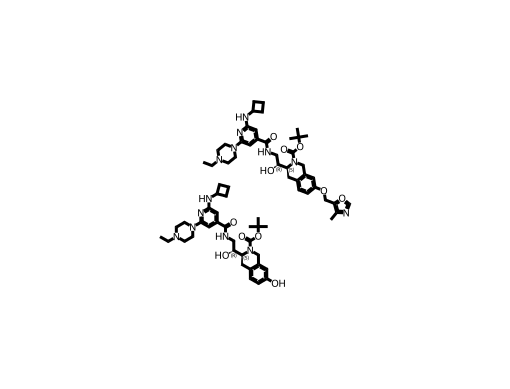 CCN1CCN(c2cc(C(=O)NC[C@@H](O)[C@@H]3Cc4ccc(O)cc4CN3C(=O)OC(C)(C)C)cc(NC3CCC3)n2)CC1.CCN1CCN(c2cc(C(=O)NC[C@@H](O)[C@@H]3Cc4ccc(OCc5ocnc5C)cc4CN3C(=O)OC(C)(C)C)cc(NC3CCC3)n2)CC1